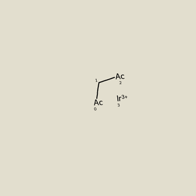 CC(=O)CC(C)=O.[Ir+3]